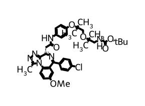 COc1ccc2c(c1)C(c1ccc(Cl)cc1)=N[C@@H](CC(=O)Nc1ccc(OC(C)(C)COC(C)(C)CNC(=O)OC(C)(C)C)cc1)c1nnc(C)n1-2